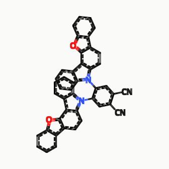 N#Cc1cc(-n2c3ccccc3c3c4oc5ccccc5c4ccc32)c(-n2c3ccccc3c3c4oc5ccccc5c4ccc32)cc1C#N